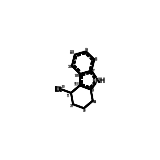 CCC1CCCc2[nH]c3ccccc3c21